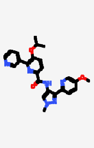 COc1ccc(-c2nn(C)cc2NC(=O)c2ccc(OC(C)C)c(-c3cccnc3)n2)nc1